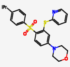 CC(C)c1ccc(S(=O)(=O)c2ccc(N3CCOCC3)cc2Sc2ccccn2)cc1